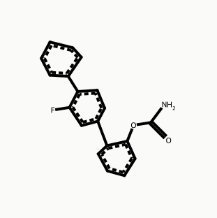 NC(=O)Oc1ccccc1-c1ccc(-c2ccccc2)c(F)c1